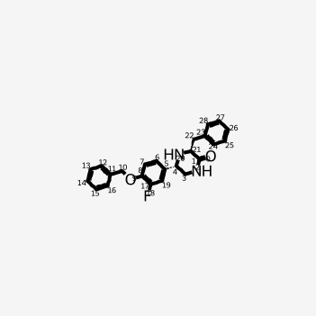 O=C1NC[C@H](c2ccc(OCc3ccccc3)c(F)c2)N[C@H]1Cc1ccccc1